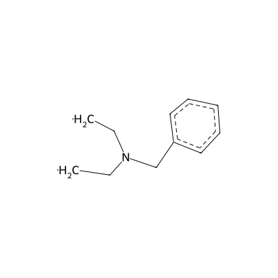 [CH2]CN(C[CH2])Cc1ccccc1